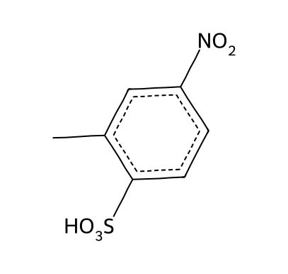 Cc1cc([N+](=O)[O-])ccc1S(=O)(=O)O